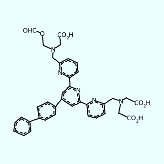 O=COCN(CC(=O)O)Cc1cccc(-c2cc(-c3ccc(-c4ccccc4)cc3)cc(-c3cccc(CN(CC(=O)O)CC(=O)O)n3)n2)n1